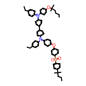 CCCCC(C)(C)Oc1ccc(N(c2ccc(CC)cc2)c2ccc(-c3ccc(N(c4ccc(CC)cc4)c4ccc(Oc5ccc(S(=O)(=O)c6ccc(C(C)(C)CCC)cc6)cc5)cc4)cc3)cc2)cc1